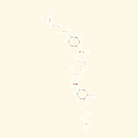 Cc1cc(C(=O)OC2COC3C(OC(=O)c4ccc(OCCCC5CO5)c(C)c4)COC23)ccc1OCCCC1CO1